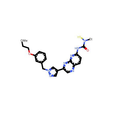 CCN(S)C(=O)Nc1ccc2ncc(-c3cnn(Cc4cccc(OCCOC)c4)c3)nc2n1